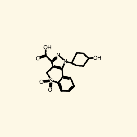 O=C(O)c1nn(C2CCC(O)CC2)c2c1CS(=O)(=O)c1ccccc1-2